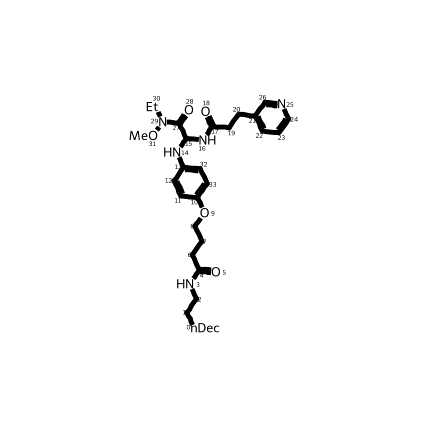 CCCCCCCCCCCCNC(=O)CCCOc1ccc(NC(NC(=O)CCc2cccnc2)C(=O)N(CC)OC)cc1